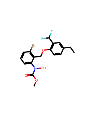 CCc1ccc(OCc2c(Br)cccc2N(O)C(=O)OC)c(C(F)F)c1